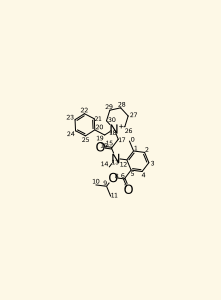 Cc1cccc(C(=O)OC(C)C)c1N(C)C(=O)C[N+]1(Cc2ccccc2)CCCCC1